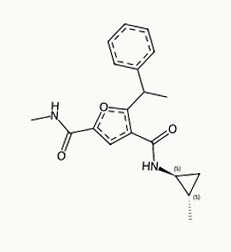 CNC(=O)c1cc(C(=O)N[C@H]2C[C@@H]2C)c(C(C)c2ccccc2)o1